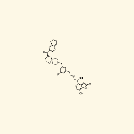 O=C(c1ccc2cccnc2c1)N1CCOC2(CCN(Cc3cc(F)cc(CCNCC(O)c4ccc(O)c5[nH]c(=O)sc45)c3)CC2)C1